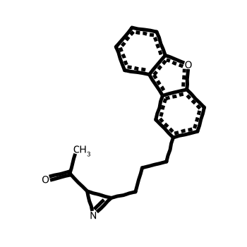 CC(=O)C1N=C1CCCc1ccc2oc3ccccc3c2c1